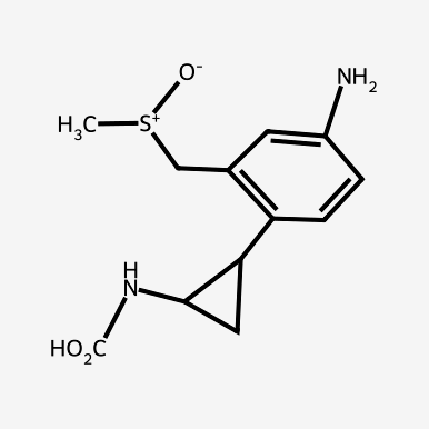 C[S+]([O-])Cc1cc(N)ccc1C1CC1NC(=O)O